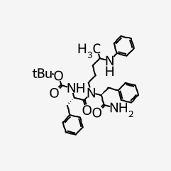 CC(CCCN(C(=O)[C@H](Cc1ccccc1)NC(=O)OC(C)(C)C)[C@@H](Cc1ccccc1)C(N)=O)Nc1ccccc1